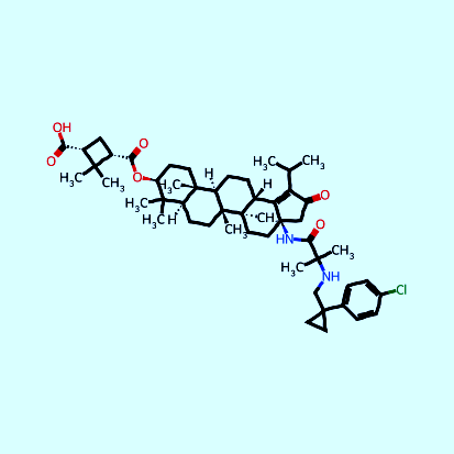 CC(C)C1=C2[C@H]3CC[C@@H]4[C@@]5(C)CC[C@H](OC(=O)[C@H]6C[C@@H](C(=O)O)C6(C)C)C(C)(C)[C@@H]5CC[C@@]4(C)[C@]3(C)CC[C@@]2(NC(=O)C(C)(C)NCC2(c3ccc(Cl)cc3)CC2)CC1=O